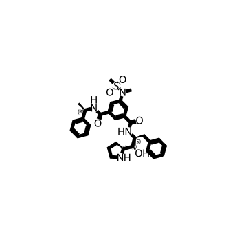 C[C@@H](NC(=O)c1cc(C(=O)N[C@@H](Cc2ccccc2)[C@H](O)[C@@H]2CCCN2)cc(N(C)S(C)(=O)=O)c1)c1ccccc1